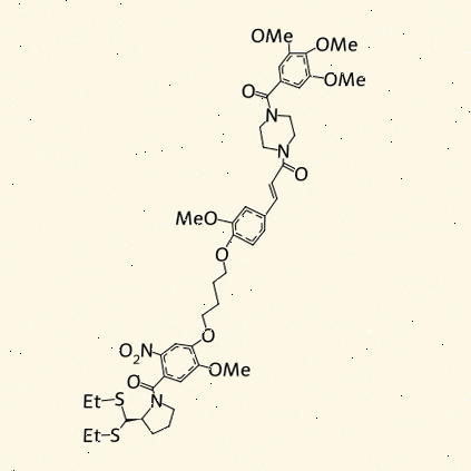 CCSC(SCC)[C@@H]1CCCN1C(=O)c1cc(OC)c(OCCCCOc2ccc(/C=C/C(=O)N3CCN(C(=O)c4cc(OC)c(OC)c(OC)c4)CC3)cc2OC)cc1[N+](=O)[O-]